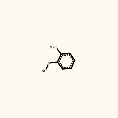 COc1c[c]ccc1SC#N